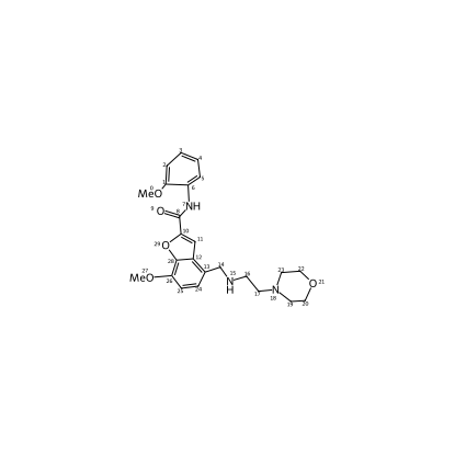 COc1ccccc1NC(=O)c1cc2c(CNCCN3CCOCC3)ccc(OC)c2o1